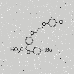 CC(C)(C)c1ccc(OC(C(=O)O)c2ccc(OCCCOc3ccc(Cl)cc3)cc2)cc1